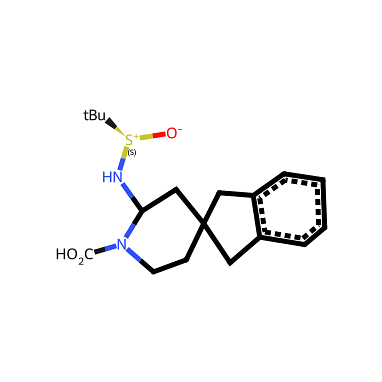 CC(C)(C)[S@@+]([O-])NC1CC2(CCN1C(=O)O)Cc1ccccc1C2